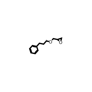 [CH](CCc1ccccc1)OCC1CO1